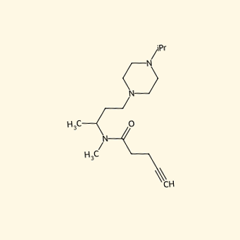 C#CCCC(=O)N(C)C(C)CCN1CCN(C(C)C)CC1